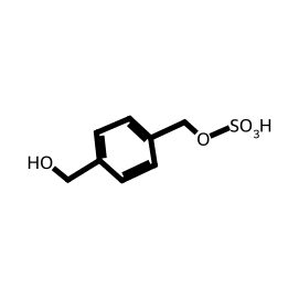 O=S(=O)(O)OCc1ccc(CO)cc1